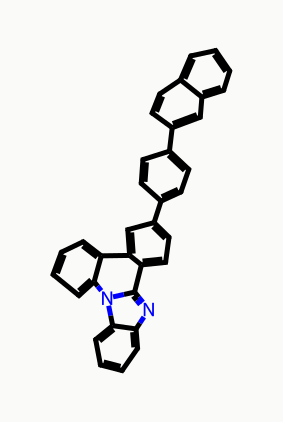 c1ccc2cc(-c3ccc(-c4ccc5c(c4)c4ccccc4n4c6ccccc6nc54)cc3)ccc2c1